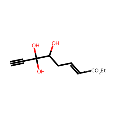 C#CC(O)(O)C(O)C/C=C/C(=O)OCC